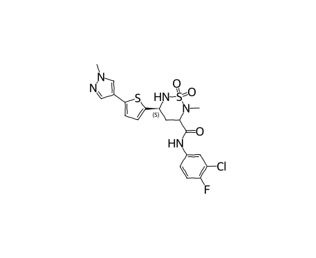 CN1C(C(=O)Nc2ccc(F)c(Cl)c2)C[C@@H](c2ccc(-c3cnn(C)c3)s2)NS1(=O)=O